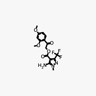 COc1ccc(C(=O)COC(=O)c2c(C(F)(F)F)nn(C)c2N)c(OC)c1